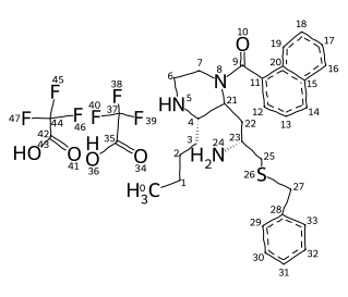 CCCC[C@@H]1NCCN(C(=O)c2cccc3ccccc23)C1C[C@@H](N)CSCc1ccccc1.O=C(O)C(F)(F)F.O=C(O)C(F)(F)F